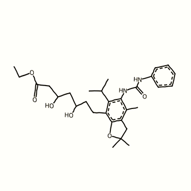 CCOC(=O)CC(O)CC(O)CCc1c2c(c(C)c(NC(=O)Nc3ccccc3)c1C(C)C)CC(C)(C)O2